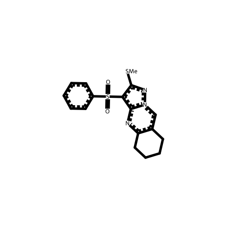 CSc1nn2cc3c(nc2c1S(=O)(=O)c1ccccc1)CCCC3